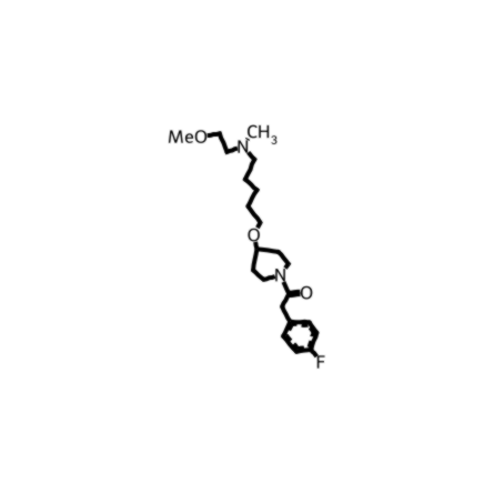 COCCN(C)CCCCCOC1CCN(C(=O)Cc2ccc(F)cc2)CC1